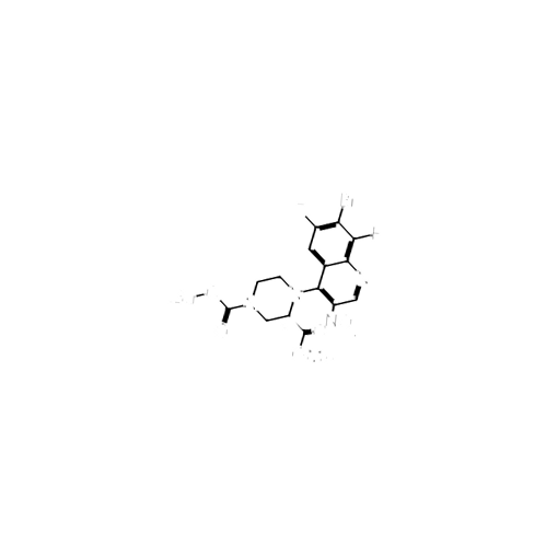 COC(=O)[C@H]1CN(C(=O)OC(C)(C)C)CCN1c1c([N+](=O)[O-])cnc2c(F)c(Br)c(F)cc12